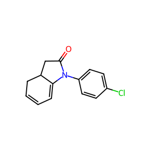 O=C1CC2CC=CC=C2N1c1ccc(Cl)cc1